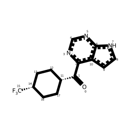 O=C(c1ncnc2[nH]ccc12)[C@H]1CC[C@@H](C(F)(F)F)CC1